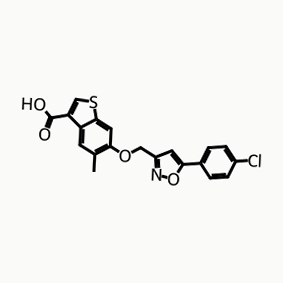 Cc1cc2c(C(=O)O)csc2cc1OCc1cc(-c2ccc(Cl)cc2)on1